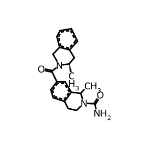 CC1c2cc(C(=O)N3Cc4ccccc4C[C@H]3C)ccc2CCN1C(N)=O